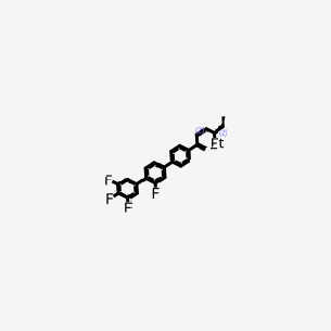 C=C(/C=C\C(=C/C)CC)c1ccc(-c2ccc(-c3cc(F)c(F)c(F)c3)c(F)c2)cc1